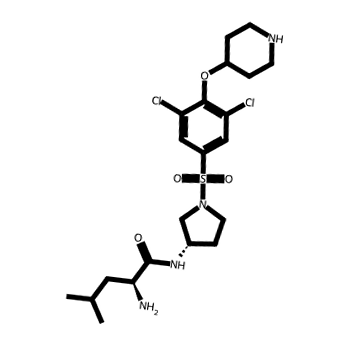 CC(C)C[C@H](N)C(=O)N[C@H]1CCN(S(=O)(=O)c2cc(Cl)c(OC3CCNCC3)c(Cl)c2)C1